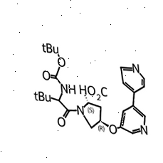 CC(C)(C)OC(=O)NC(C(=O)N1C[C@H](Oc2cncc(-c3ccncc3)c2)C[C@H]1C(=O)O)C(C)(C)C